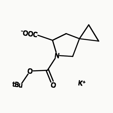 CC(C)(C)OC(=O)N1CC2(CC2)CC1C(=O)[O-].[K+]